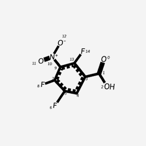 O=C(O)c1cc(F)c(F)c([N+](=O)[O-])c1F